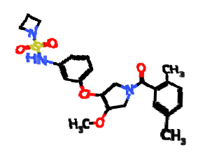 COC1CN(C(=O)c2cc(C)ccc2C)CC1Oc1cccc(NS(=O)(=O)N2CCC2)c1